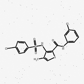 Cc1csc(C(=O)Nc2cccc(Cl)c2)c1NS(=O)(=O)c1ccc(Cl)cc1